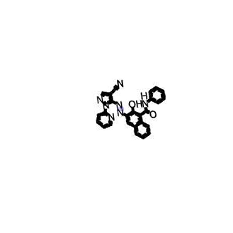 N#Cc1cnn(-c2ccccn2)c1/N=N/c1cc2ccccc2c(C(=O)Nc2ccccc2)c1O